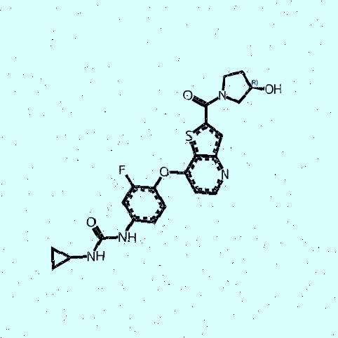 O=C(Nc1ccc(Oc2ccnc3cc(C(=O)N4CC[C@@H](O)C4)sc23)c(F)c1)NC1CC1